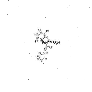 O=C(N[C@@H](Cc1c(F)c(F)c(F)c(F)c1F)C(=O)O)OCc1ccccc1